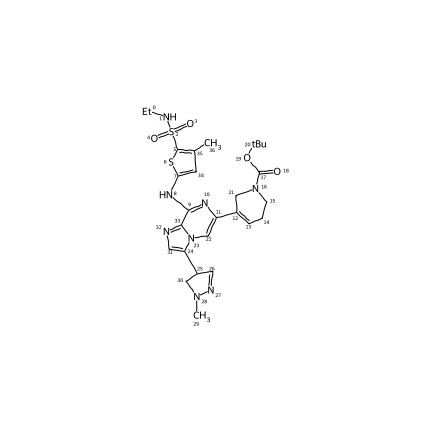 CCNS(=O)(=O)c1sc(Nc2nc(C3=CCCN(C(=O)OC(C)(C)C)C3)cn3c(C4C=NN(C)C4)cnc23)cc1C